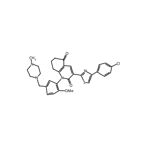 COc1ccc(CN2CCN(C)CC2)cc1-n1c2c(cc(-c3nc(-c4ccc(Cl)cc4)cs3)c1=O)C(=O)CCC2